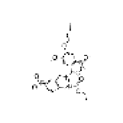 CCCCOc1cc([N+](=O)[O-])c(C(=O)N2Cc3cc([N+](=O)[O-])ccc3C[C@H]2C(=O)OCC)cc1OC